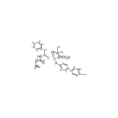 Cc1ccc(-c2ccc(C[C@H]3[C@H](C[C@H](Cc4ccccc4)NC(=O)OC(C)(C)C)OC(C)(C)N3C(=O)O)cc2)cn1